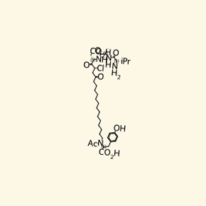 CC(=O)N(CCCCCCCCCCCCCCC(=O)CC(Cl)C(=O)[C@H](CC(=O)O)NC(=O)[C@H](C)NC(=O)[C@@H](N)C(C)C)[C@@H](Cc1ccc(O)cc1)C(=O)O